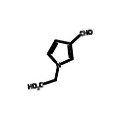 O=Cc1ccn(CC(=O)O)c1